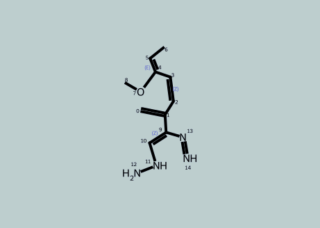 C=C(/C=C\C(=C/C)OC)/C(=C/NN)N=N